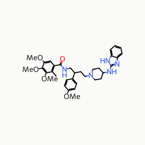 COc1ccc(C(CCN2CCC(Nc3nc4ccccc4[nH]3)CC2)CNC(=O)c2cc(OC)c(OC)c(OC)c2C)cc1